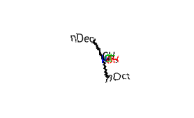 CCCCCCCC/C=C\CCCCCCCC[N+](C)(CCO)CCCCCCCCCCCCCCCCCC.[Cl-]